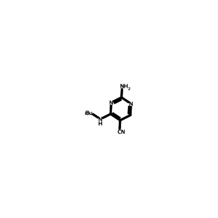 CCC(C)Nc1nc(N)ncc1C#N